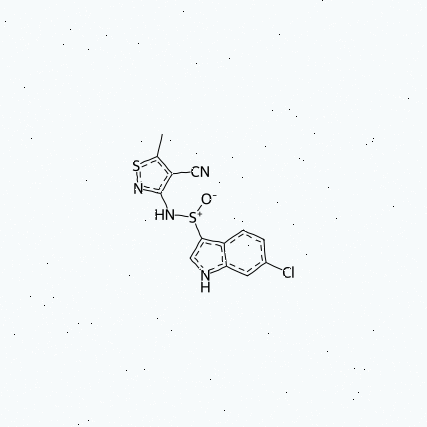 Cc1snc(N[S+]([O-])c2c[nH]c3cc(Cl)ccc23)c1C#N